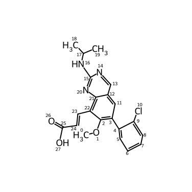 COc1c(-c2ccccc2Cl)cc2cnc(NC(C)C)nc2c1/C=C/C(=O)O